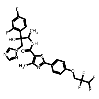 Cc1nc(-c2ccc(OCC(F)(F)C(F)F)cc2)sc1C(=O)NC(C)C(O)(Cn1cncn1)c1ccc(F)cc1F